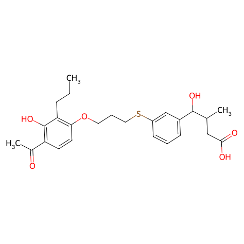 CCCc1c(OCCCSc2cccc(C(O)C(C)CC(=O)O)c2)ccc(C(C)=O)c1O